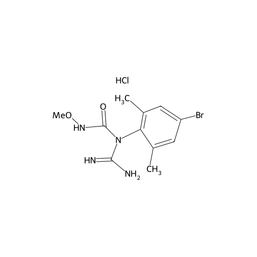 CONC(=O)N(C(=N)N)c1c(C)cc(Br)cc1C.Cl